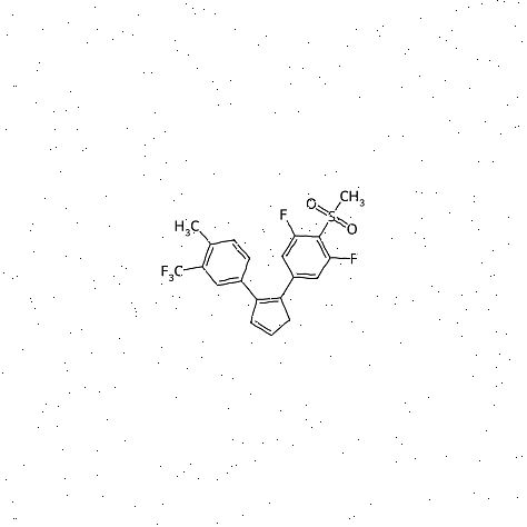 Cc1ccc(C2=C(c3cc(F)c(S(C)(=O)=O)c(F)c3)CC=C2)cc1C(F)(F)F